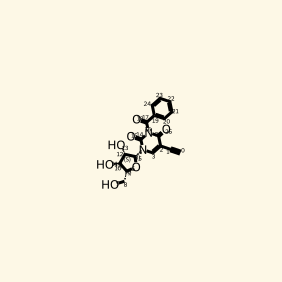 C#Cc1cn([C@@H]2O[C@H](CO)[C@@H](O)[C@@H]2O)c(=O)n(C(=O)c2ccccc2)c1=O